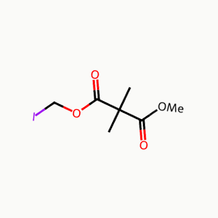 COC(=O)C(C)(C)C(=O)OCI